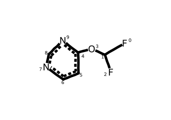 FC(F)Oc1ccn[c]n1